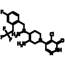 NC1=C(N(N)Cc2ccc(F)cc2CC(F)(F)F)CCN(c2cn[nH]c(=O)c2Cl)C1